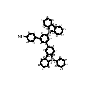 N#Cc1ccc(-c2cc(-c3ccc4c(c3)c3ccccc3n4-c3ccccc3)cc(-n3c4ccccc4c4ccccc43)c2)cc1